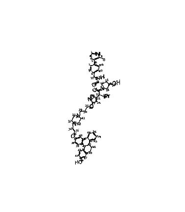 Cc1ncsc1-c1ccc(CNC(=O)[C@@H]2C[C@@H](O)CN2C(=O)C(c2cc(OCCCN3CCN(CCOc4ccc([C@@H]5c6ccc(O)cc6CC[C@@H]5c5ccccc5)cc4)CC3)no2)C(C)C)cc1